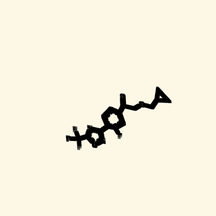 O=C(COCC1CC1)c1ccc(-c2noc(C(F)(F)F)n2)c(F)c1